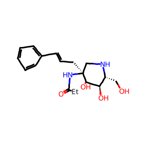 CCC(=O)N[C@@]1(CC=Cc2ccccc2)CN[C@H](CO)[C@@H](O)[C@@H]1O